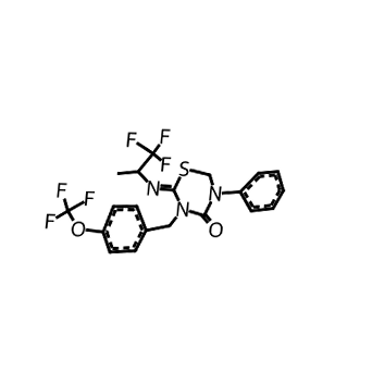 CC(N=C1SCN(c2ccccc2)C(=O)N1Cc1ccc(OC(F)(F)F)cc1)C(F)(F)F